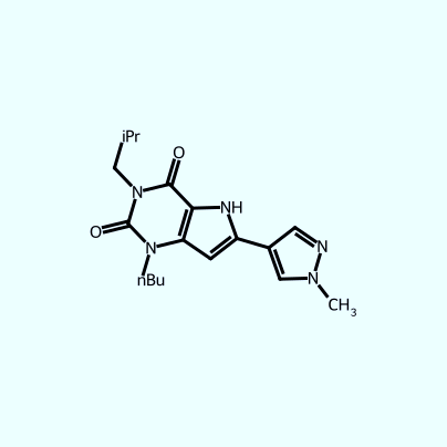 CCCCn1c(=O)n(CC(C)C)c(=O)c2[nH]c(-c3cnn(C)c3)cc21